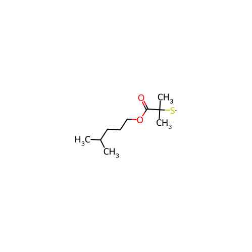 CC(C)CCCOC(=O)C(C)(C)[S]